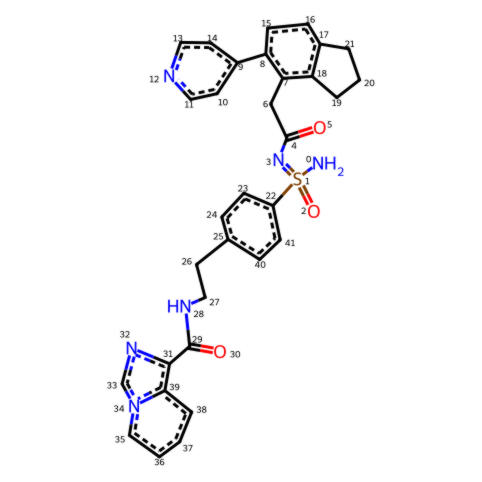 NS(=O)(=NC(=O)Cc1c(-c2ccncc2)ccc2c1CCC2)c1ccc(CCNC(=O)c2ncn3ccccc23)cc1